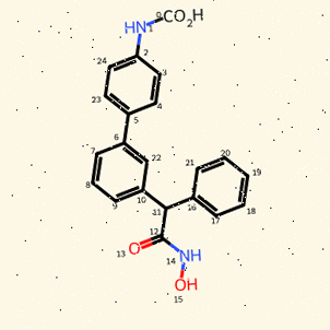 O=C(O)Nc1ccc(-c2cccc(C(C(=O)NO)c3ccccc3)c2)cc1